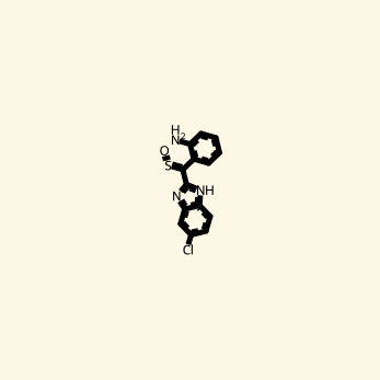 Nc1ccccc1C(=S=O)c1nc2cc(Cl)ccc2[nH]1